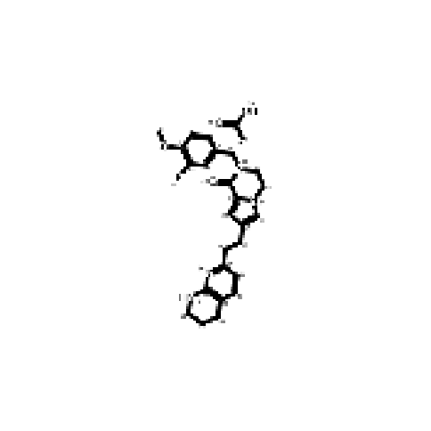 COc1ccc([C@H](CC(=O)O)N2CCn3cc(CCc4ccc5c(n4)NCCC5)cc3C2=O)cc1F